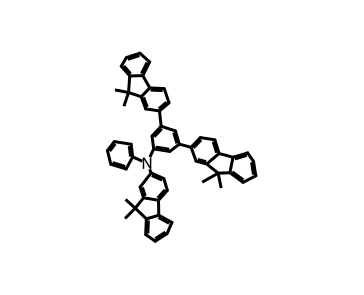 CC1(C)c2ccccc2-c2ccc(-c3cc(-c4ccc5c(c4)C(C)(C)c4ccccc4-5)cc(N(c4ccccc4)c4ccc5c(c4)C(C)(C)c4ccccc4-5)c3)cc21